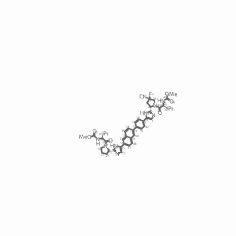 [C-]#[N+][C@]1(F)C[C@@H](c2ncc(-c3ccc(-c4ccc5cc(-c6cnc([C@@H]7CCCN7C(=O)[C@@H](NC(=O)OC)C(C)C)[nH]6)ccc5c4)cc3)[nH]2)N(C(=O)[C@@H](NC(=O)OC)C(C)C)C1